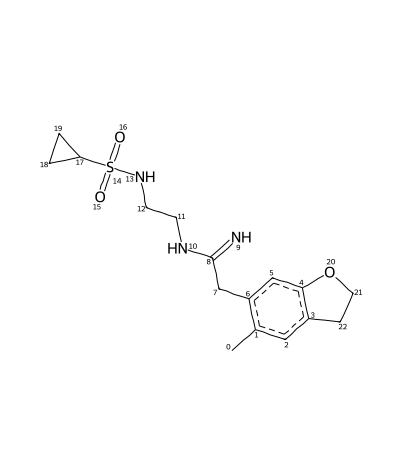 Cc1cc2c(cc1CC(=N)NCCNS(=O)(=O)C1CC1)OCC2